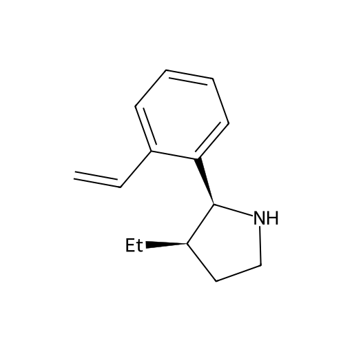 C=Cc1ccccc1[C@H]1NCC[C@H]1CC